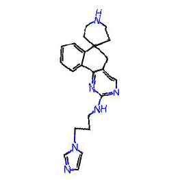 c1ccc2c(c1)-c1nc(NCCCn3ccnc3)ncc1CC21CCNCC1